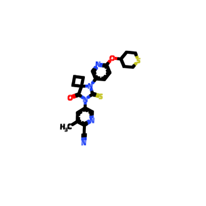 Cc1cc(N2C(=O)C3(CCC3)N(c3ccc(OC4CCSCC4)nc3)C2=S)cnc1C#N